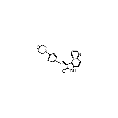 O=C1Nc2ccc3ncccc3c2C1=CNc1ccc(N2CCOCC2)cc1